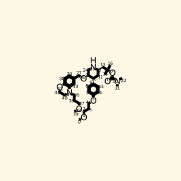 COCCCOc1ccc([C@H]2C[C@H](CC(C)(C)OC(=O)N(C)C)NC[C@@H]2OCc2ccc3c(c2)N(CCCOC)CCO3)cc1